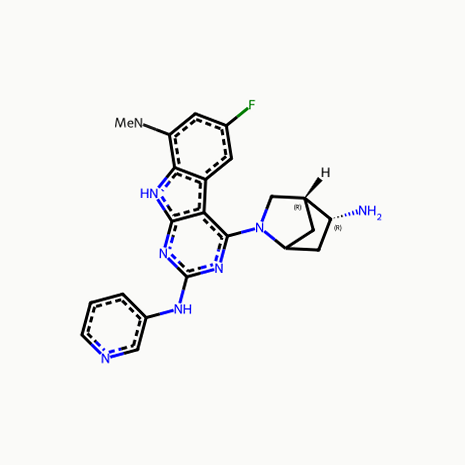 CNc1cc(F)cc2c1[nH]c1nc(Nc3cccnc3)nc(N3C[C@H]4CC3C[C@H]4N)c12